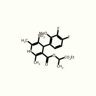 CCOC(=O)C(C)OC(=O)C1=C(C)NC(C)=C([N+](=O)[O-])C1c1ccc(F)c(F)c1OC